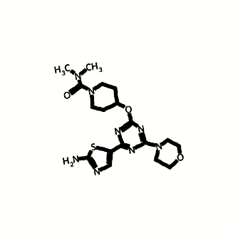 CN(C)C(=O)N1CCC(Oc2nc(-c3cnc(N)s3)nc(N3CCOCC3)n2)CC1